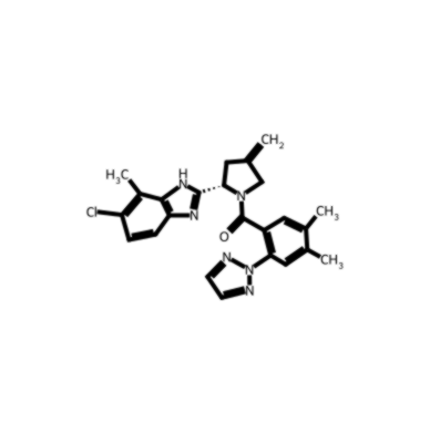 C=C1C[C@@H](c2nc3ccc(Cl)c(C)c3[nH]2)N(C(=O)c2cc(C)c(C)cc2-n2nccn2)C1